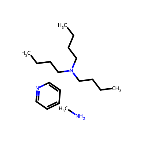 CCCCN(CCCC)CCCC.CN.c1ccncc1